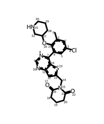 Cc1cc(Cl)cc(-c2ncnc3cc(CN4C(=O)CCCC4=O)sc23)c1OC1CCCNC1